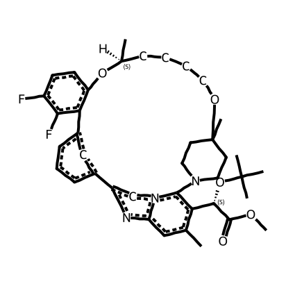 COC(=O)[C@@H](OC(C)(C)C)c1c(C)cc2nc3cn2c1N1CCC(C)(CC1)OCCCC[C@H](C)Oc1ccc(F)c(F)c1-c1cccc-3c1